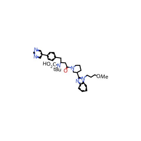 COCCCn1c(C2CCCN(C(=O)CC(Cc3ccc(-c4cncnc4)cc3)N(C(=O)O)C(C)(C)C)C2)nc2ccccc21